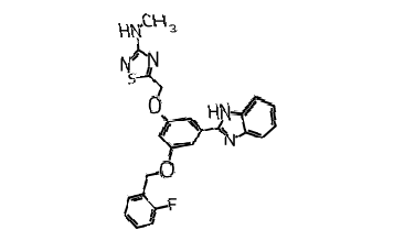 CNc1nsc(COc2cc(OCc3ccccc3F)cc(-c3nc4ccccc4[nH]3)c2)n1